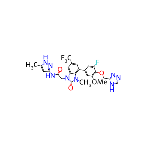 COc1cc(-c2cc(C(F)(F)F)cc3c2n(C)c(=O)n3CC(=O)Nc2cc(C)[nH]n2)cc(F)c1OCc1nnc[nH]1